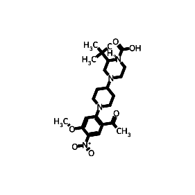 COc1cc(N2CCC(N3CCN(C(=O)O)C(C(C)(C)C)C3)CC2)c(C(C)=O)cc1[N+](=O)[O-]